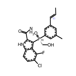 C/C=C/c1cc(C)cc([P@@](=O)(CO)c2c(C(N)=O)[nH]c3ccc(Cl)c(F)c23)c1